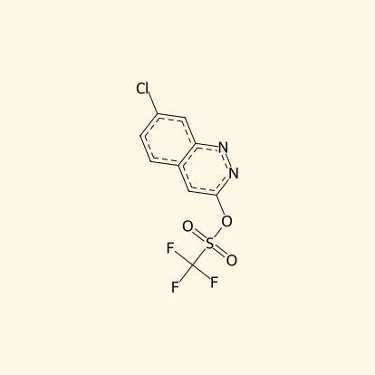 O=S(=O)(Oc1cc2ccc(Cl)cc2nn1)C(F)(F)F